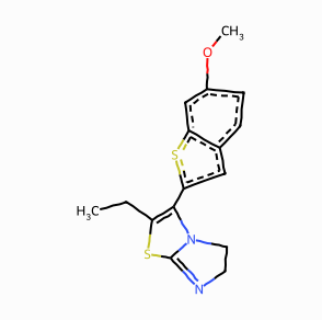 CCC1=C(c2cc3ccc(OC)cc3s2)N2CCN=C2S1